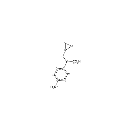 O=C(O)C(CC1CC1)c1ccc([N+](=O)[O-])cc1